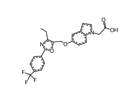 CCc1nc(-c2ccc(C(F)(F)F)cc2)oc1COc1ccc2c(ccn2CC(=O)O)c1